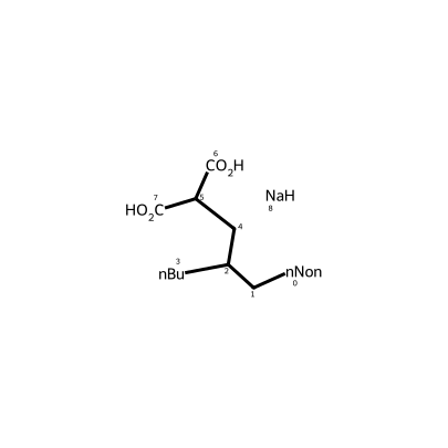 CCCCCCCCCCC(CCCC)CC(C(=O)O)C(=O)O.[NaH]